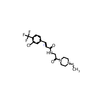 CSN1CCN(C(=O)CNC(=O)/C=C/c2ccc(C(F)(F)F)c(Cl)c2)CC1